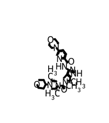 C[C@@H]1CN(C(=O)N2Cc3c(NC(=O)c4ccc(N5CCOCC5)cn4)n[nH]c3C2(C)C)[C@@H](C)CN1C1CCOCC1